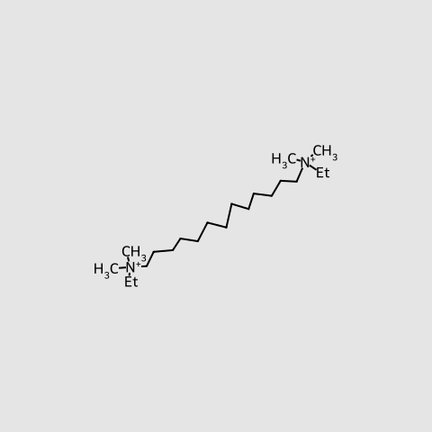 CC[N+](C)(C)CCCCCCCCCCCCC[N+](C)(C)CC